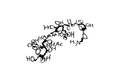 CC(=O)N[C@@]1(CC(=O)NOC[C@H]2O[C@H](CP(=O)(O)O)[C@H](CC(=O)NOC[C@H]3O[C@H](OCCN)C[C@@H](O)[C@@H]3O)[C@@H](O)[C@@H]2O)[C@@H](CP(=O)(O)O)O[C@H](CO)[C@@H](O)[C@@H]1O